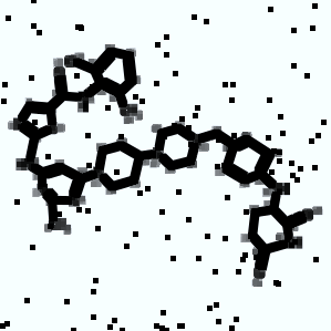 Cc1nc(Nc2ncc(C(=O)Nc3c(C)cccc3Cl)s2)cc(N2CCC(N3CCN(Cc4ccc(NC5CCC(=O)NC5=O)cc4)CC3)CC2)n1